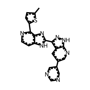 Cc1ccc(-c2nccc3[nH]c(-c4n[nH]c5ncc(-c6cncnc6)cc45)nc23)s1